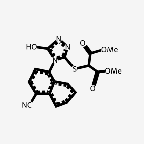 COC(=O)C(Sc1nnc(O)n1-c1ccc(C#N)c2ccccc12)C(=O)OC